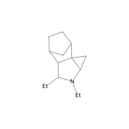 CCC1C2C3CCC(C3)C23CC3N1CC